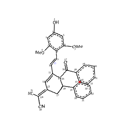 COc1cc(O)cc(OC)c1/C=C/C1=CC(=C(C#N)C#N)CC(c2ccccc2)N1C(=O)c1ccccc1